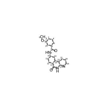 COc1cccc(C(=O)Nc2ccc3c(=O)[nH]c4ncccc4c3c2)c1